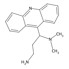 CN(C)C(CCN)c1c2ccccc2nc2ccccc12